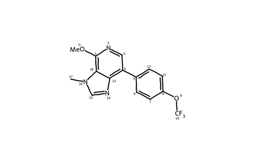 COc1ncc(-c2ccc(OC(F)(F)F)cc2)c2ncn(C)c12